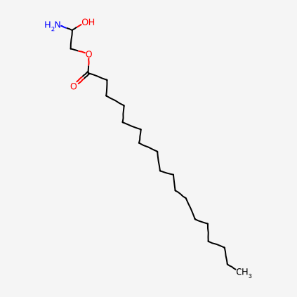 CCCCCCCCCCCCCCCCCC(=O)OCC(N)O